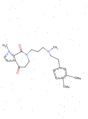 COc1ccc(CCN(C)CCCN2CCC(=O)c3ccn(C)c3C2=O)cc1OC